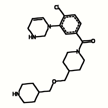 O=C(c1ccc(Cl)c(N2C=CCNC2)c1)N1CCC(COCC2CCNCC2)CC1